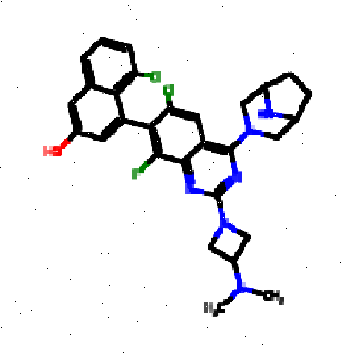 CN(C)C1CN(c2nc(N3CC4CCC(C3)N4)c3cc(Cl)c(-c4cc(O)cc5cccc(Cl)c45)c(F)c3n2)C1